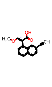 C#Cc1ccc2cccc(/C(=C\OC)C(=O)O)c2c1